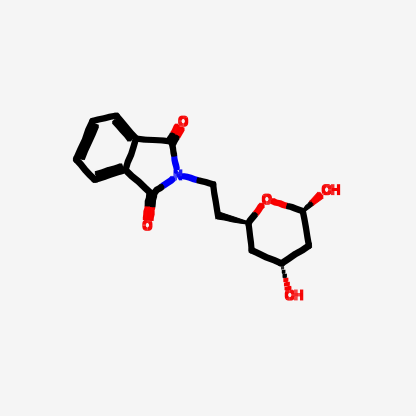 O=C1c2ccccc2C(=O)N1CC[C@@H]1C[C@@H](O)C[C@H](O)O1